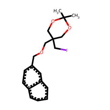 CC1(C)OCC(CI)(COCc2ccc3ccccc3c2)CO1